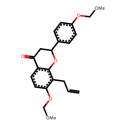 C=CCc1c(OCOC)ccc2c1OC(c1ccc(OCOC)cc1)CC2=O